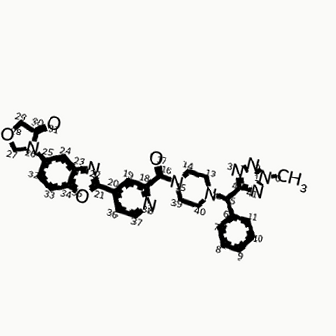 Cn1nnc(C(c2ccccc2)N2CCN(C(=O)c3cc(-c4nc5cc(N6COCC6=O)ccc5o4)ccn3)CC2)n1